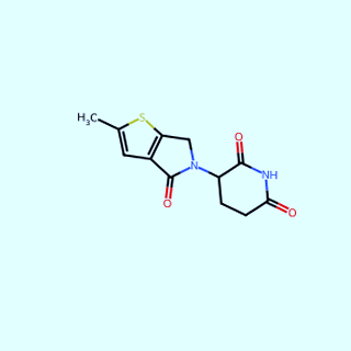 Cc1cc2c(s1)CN(C1CCC(=O)NC1=O)C2=O